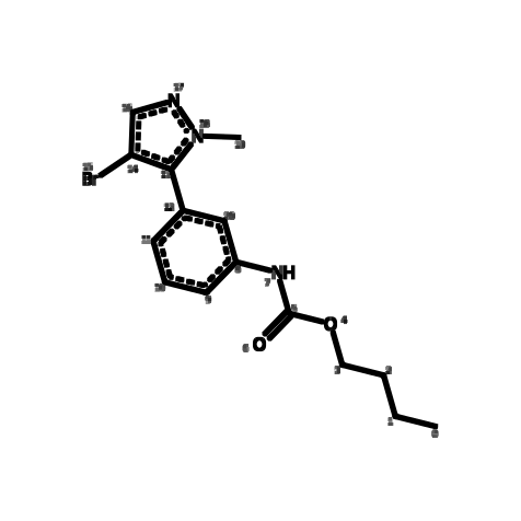 CCCCOC(=O)Nc1cccc(-c2c(Br)cnn2C)c1